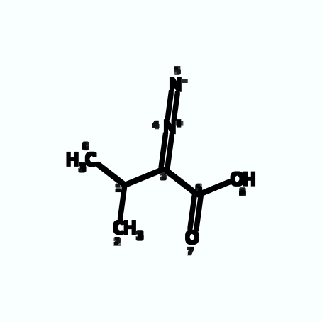 CC(C)C(=[N+]=[N-])C(=O)O